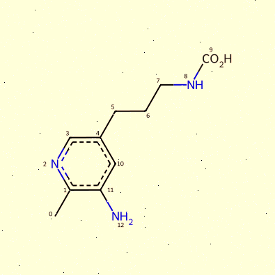 Cc1ncc(CCCNC(=O)O)cc1N